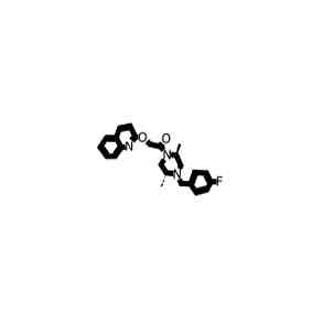 C[C@@H]1CN(C(=O)COc2ccc3ccccc3n2)[C@@H](C)CN1Cc1ccc(F)cc1